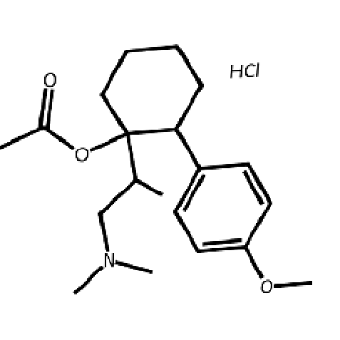 COc1ccc(C2CCCCC2(OC(C)=O)C(C)CN(C)C)cc1.Cl